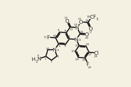 NC1CCN(c2cc3c(cc2F)c(=O)n(OC(=O)C(F)(F)F)c(=O)n3-c2ccc(F)c(Cl)c2)C1